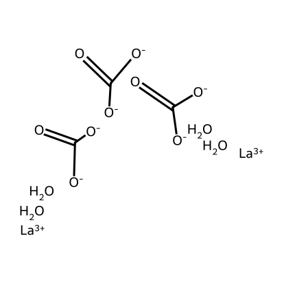 O.O.O.O.O=C([O-])[O-].O=C([O-])[O-].O=C([O-])[O-].[La+3].[La+3]